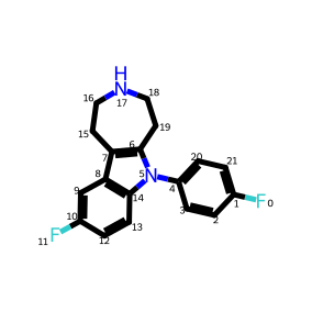 Fc1ccc(-n2c3c(c4cc(F)ccc42)CCNCC3)cc1